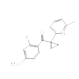 COc1ccc(C(=O)C2(c3cccc(C)n3)CC2)c(F)c1